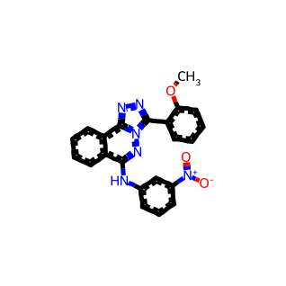 COc1ccccc1-c1nnc2c3ccccc3c(Nc3cccc([N+](=O)[O-])c3)nn12